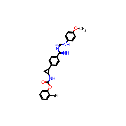 CC(C)c1ccccc1OC(=O)NC1CC1c1ccc(C(=N)/N=C\Nc2ccc(OC(F)(F)F)cc2)cc1